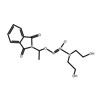 CC(ON=[N+]([O-])N(CCO)CCO)N1C(=O)c2ccccc2C1=O